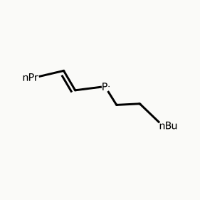 CCCC=C[P]CCCCCC